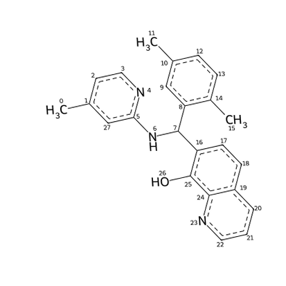 Cc1ccnc(NC(c2cc(C)ccc2C)c2ccc3cccnc3c2O)c1